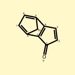 O=C1C=CC2=C1C1=CC=C2C1